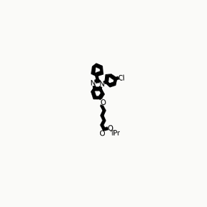 CC(C)OC(=O)CCCCCOc1ccc2nc(-c3ccccc3)n(-c3ccc(Cl)cc3)c2c1